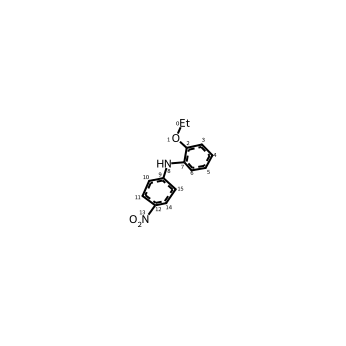 CCOc1ccccc1Nc1ccc([N+](=O)[O-])cc1